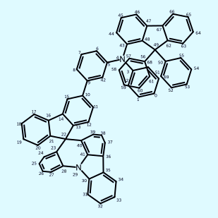 c1ccc(N(c2cccc(-c3ccc4c(c3)-c3ccccc3C43c4ccccc4-n4c5ccccc5c5cccc3c54)c2)c2cccc3c2C(c2ccccc2)(c2ccccc2)c2ccccc2-3)cc1